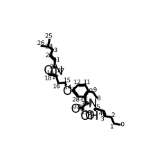 CCCC=CC(=O)N1CCc2ccc(OCCc3coc(/C=C/CC(C)C)n3)cc2C1C(=O)O